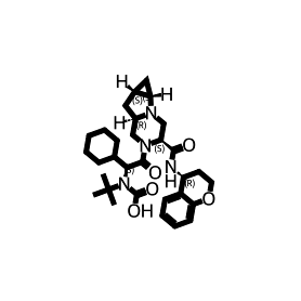 CC(C)(C)N(C(=O)O)[C@H](C(=O)N1C[C@H]2C[C@@H]3C[C@@H]3N2C[C@H]1C(=O)N[C@@H]1CCOc2ccccc21)C1CCCCC1